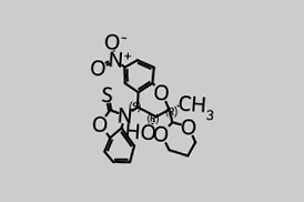 C[C@@]1(C2OCCCO2)Oc2ccc([N+](=O)[O-])cc2[C@H](n2c(=S)oc3ccccc32)[C@H]1O